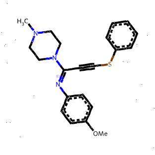 COc1ccc(/N=C(\C#CSc2ccccc2)N2CCN(C)CC2)cc1